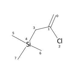 C=C(Cl)C[Si](C)(C)C